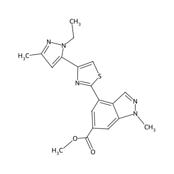 CCn1nc(C)cc1-c1csc(-c2cc(C(=O)OC)cc3c2cnn3C)n1